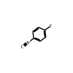 [C-]#[N+]c1ccc(F)cc1